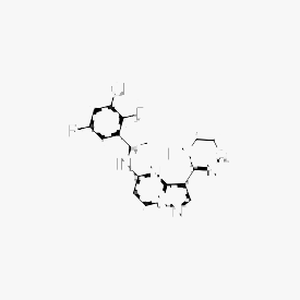 C[C@@H](Nc1ccn2ncc(C3=NOCCN3)c2n1)c1cc(F)cc(C(F)(F)F)c1F